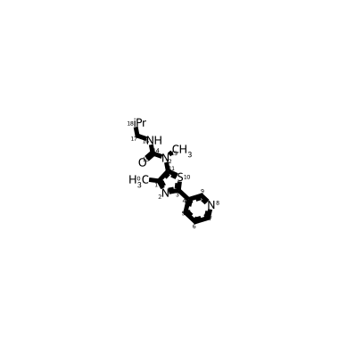 Cc1nc(-c2cccnc2)sc1N(C)C(=O)NCC(C)C